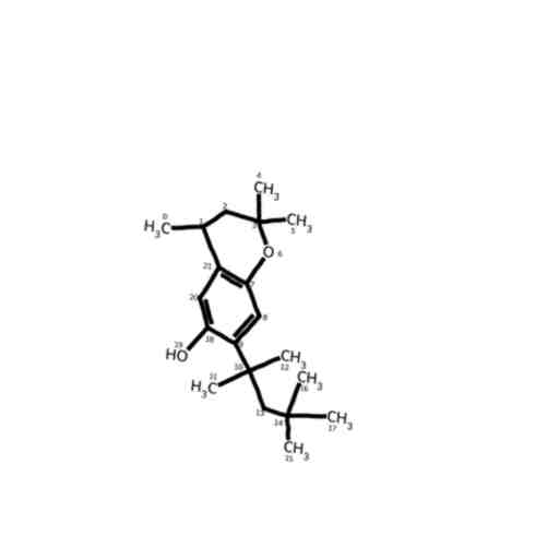 CC1CC(C)(C)Oc2cc(C(C)(C)CC(C)(C)C)c(O)cc21